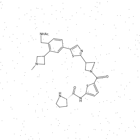 CC(=O)NCc1ccc(-c2cnc(C3CN(C(=O)c4ccc(NC(=O)[C@@H]5CCCN5)s4)C3)s2)cc1C1CN(C)C1